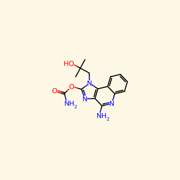 CC(C)(O)Cn1c(OC(N)=O)nc2c(N)nc3ccccc3c21